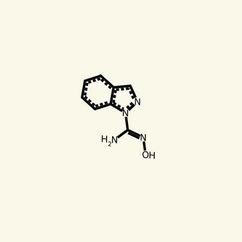 N/C(=N\O)n1ncc2ccccc21